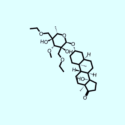 CCOC[C@@]1(O)[C@H](O[C@H]2CC[C@@]3(C)[C@H](CC[C@@H]4[C@@H]3CC[C@]3(C)C(=O)CC[C@]43O)C2)O[C@@H](C)[C@@](O)(COCC)[C@H]1OC